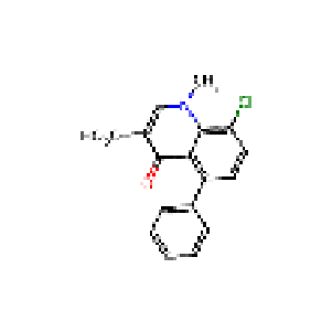 Cn1cc(C(=O)O)c(=O)c2c(-c3ccccc3)ccc(Cl)c21